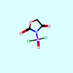 O=C1COC(=O)N1P(=O)(Cl)Cl